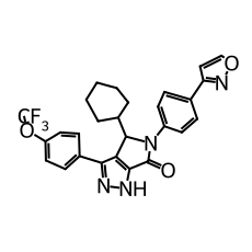 O=C1c2[nH]nc(-c3ccc(OC(F)(F)F)cc3)c2C(C2CCCCC2)N1c1ccc(-c2ccon2)cc1